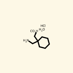 Cl.NCC1(CC(=O)O)CCCCC1.O